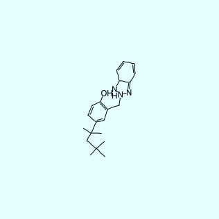 CC(C)(C)CC(C)(C)c1ccc(O)c(CN2N=C3C=CC=CC3N2)c1